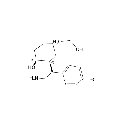 CCO.NCC(c1ccc(Cl)cc1)[C@@H]1CCCC[C@@H]1O